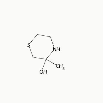 CC1(O)CSCCN1